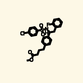 COC(=O)CCCc1ccc(C(Cc2ccccc2F)NS(=O)(=O)c2ccc(Cl)cc2)cc1